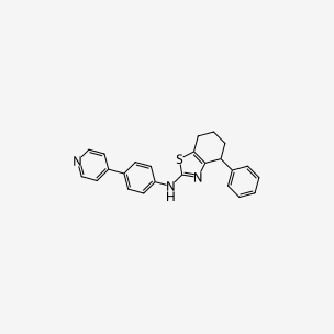 c1ccc(C2CCCc3sc(Nc4ccc(-c5ccncc5)cc4)nc32)cc1